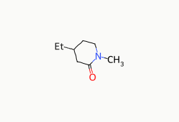 [CH2]CC1CCN(C)C(=O)C1